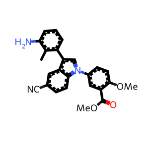 COC(=O)c1cc(-n2cc(-c3cccc(N)c3C)c3cc(C#N)ccc32)ccc1OC